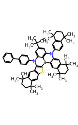 CC(C)(C)c1cc2c3c(c1)N(c1ccc(-c4ccccc4)cc1)c1c(sc4cc5c(cc14)C(C)(C)CCC5(C)C)B3c1cc3c(cc1N2c1ccc2c(c1)C(C)(C)CCC2(C)C)C(C)(C)CCC3(C)C